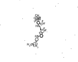 CC(=O)NS(=O)(=O)c1cc(OC(F)F)c(NCC#Cc2sc3c(NC4CCN(C(=O)CN(C)C)CC4)cccc3c2CC(F)(F)F)cc1F